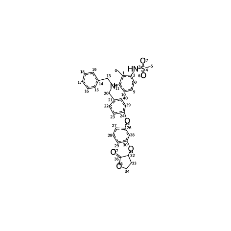 Cc1c(NS(C)(=O)=O)cccc1N(Cc1ccccc1)Cc1ccc(Oc2cccc(OC3CCOC3=O)c2)cc1